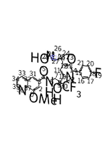 COc1cc(C(=O)NCC(O)(c2cc3c(c(-c4ccc(F)cc4)n2)OC[C@]3(C)/C=N/O)C(F)(F)F)cc2cccnc12